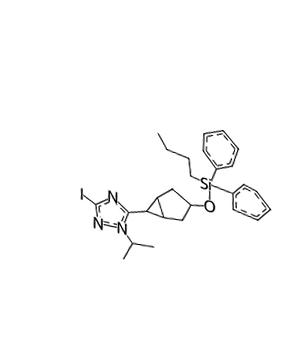 CCCC[Si](OC1CC2C(C1)C2c1nc(I)nn1C(C)C)(c1ccccc1)c1ccccc1